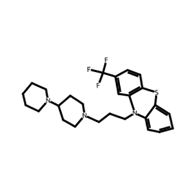 FC(F)(F)c1ccc2c(c1)N(CCCN1CCC(N3CCCCC3)CC1)c1ccccc1S2